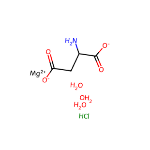 Cl.NC(CC(=O)[O-])C(=O)[O-].O.O.O.[Mg+2]